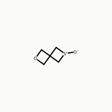 [O-][S+]1CC2(COC2)C1